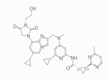 Cc1ccnc([C@H]2C[C@@H]2C(=O)Nc2cc(N(C)Cc3cn4cc(C5CC5)cc(N5CC(=O)N(CCO)C5=O)c4n3)cc(C3CC3)n2)n1